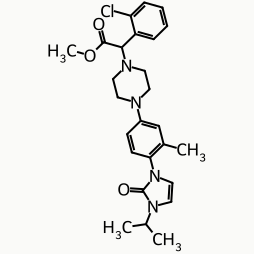 COC(=O)C(c1ccccc1Cl)N1CCN(c2ccc(-n3ccn(C(C)C)c3=O)c(C)c2)CC1